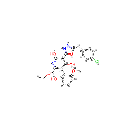 CCOCc1nc(O)c(-c2nnc(Cc3ccc(Cl)cc3)o2)c(O)c1-c1c(O)cccc1OC